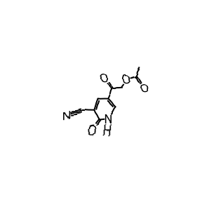 CC(=O)OCC(=O)c1c[nH]c(=O)c(C#N)c1